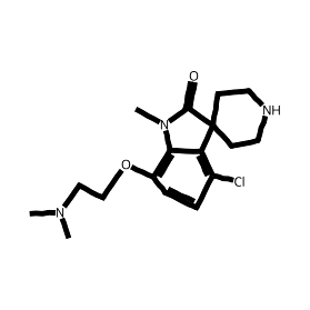 CN(C)CCOc1ccc(Cl)c2c1N(C)C(=O)C21CCNCC1